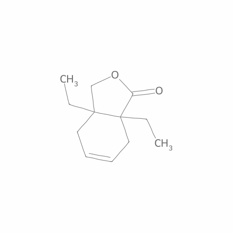 CCC12CC=CCC1(CC)C(=O)OC2